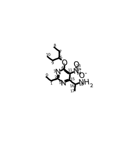 CCc1nc(OC(CC)CC)c([N+](=O)[O-])c(C(C)N)n1